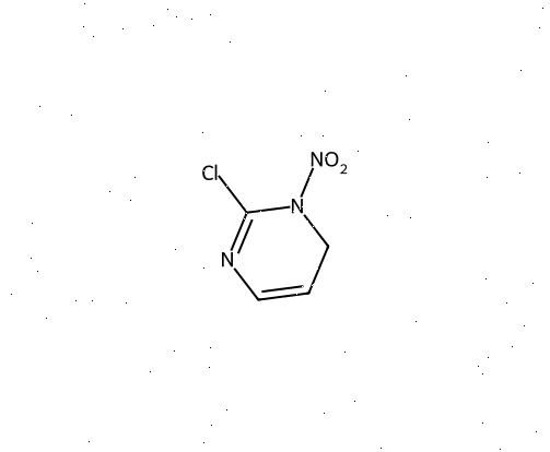 O=[N+]([O-])N1CC=CN=C1Cl